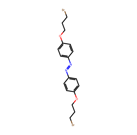 BrCCCOc1ccc(N=Nc2ccc(OCCCBr)cc2)cc1